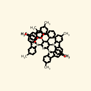 Cc1ccc2c(c1)c1cc(C)ccc1n2-c1nc(-n2c3ccc(C)cc3c3cc(C)ccc32)c(-n2c3ccc(C)cc3c3cc(C)ccc32)c(-c2ccccc2-c2cc(C)nc(C)c2)c1-n1c2ccc(C)cc2c2cc(C)ccc21